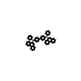 C1=CC2C(N(c3ccccc3)c3ccc(-c4ccc(N(c5ccccc5)c5cc6ccccc6c6ccccc56)cc4)cc3)=Cc3ccccc3C2C=C1